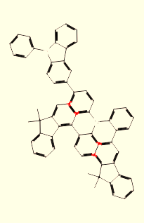 CC1(C)c2ccccc2-c2cc(-c3ccccc3N(c3ccc(-c4ccc5c(c4)c4ccccc4n5-c4ccccc4)cc3)c3ccccc3-c3cccc4c3-c3ccccc3C4(C)C)ccc21